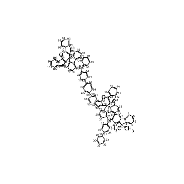 CC1(C)c2ccccc2-c2ccc(N(c3ccc(-c4ccccc4)cc3)c3cccc4c3-c3ccccc3C43c4ccc5ccccc5c4Oc4c3ccc3ccc(-c5ccc(-c6ccc(N(c7ccccc7)c7cccc8c7-c7ccccc7C87c8ccc9ccccc9c8Oc8c7ccc7ccccc87)cc6)cc5)cc43)cc21